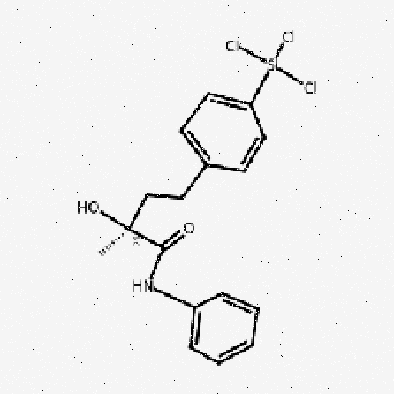 C[C@](O)(CCc1ccc([Si](Cl)(Cl)Cl)cc1)C(=O)Nc1ccccc1